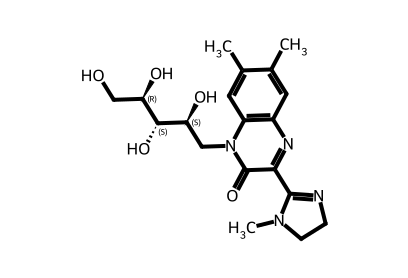 Cc1cc2nc(C3=NCCN3C)c(=O)n(C[C@H](O)[C@H](O)[C@H](O)CO)c2cc1C